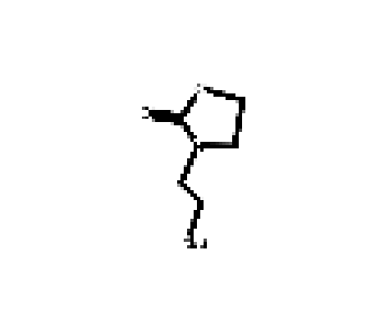 CC(C)(C)CCN1CCOC1=O